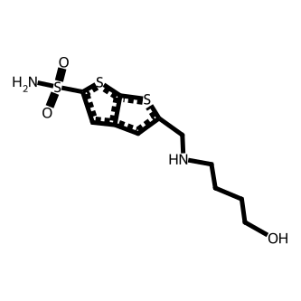 NS(=O)(=O)c1cc2cc(CNCCCCO)sc2s1